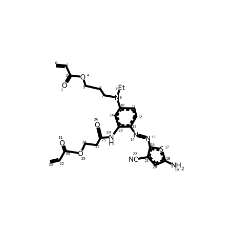 C=CC(=O)OCCCN(CC)c1ccc(/N=N/c2sc(N)cc2C#N)c(NC(=O)CCOC(=O)C=C)c1